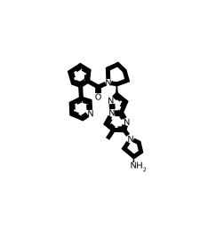 Cc1cn2nc([C@@H]3CCCCN3C(=O)c3ccccc3-c3cccnc3)cc2nc1N1CC[C@H](N)C1